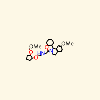 COCOC1CCCC1OCCNCC(=O)N1CCc2ccc(OC)cc2C1C1CCCCC1